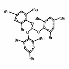 CC(C)(C)c1cc(Br)c(OP(Oc2c(Br)cc(C(C)(C)C)cc2C(C)(C)C)Oc2c(Br)cc(C(C)(C)C)cc2C(C)(C)C)c(C(C)(C)C)c1